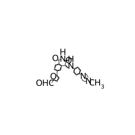 CN1CCN(c2ccc(N/C=C3\C(=O)NC(=O)c4ccc(-c5ccc(C=O)o5)cc43)cc2)CC1